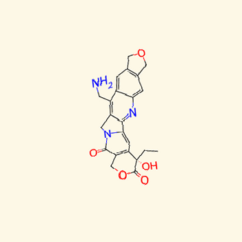 CC[C@@]1(O)C(=O)OCc2c1cc1n(c2=O)Cc2c-1nc1cc3c(cc1c2CN)COC3